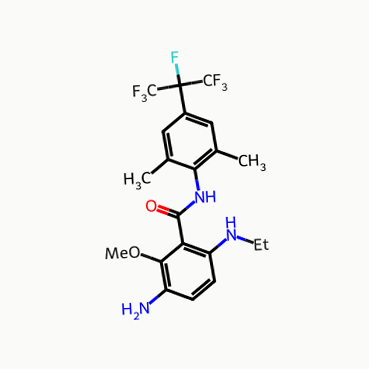 CCNc1ccc(N)c(OC)c1C(=O)Nc1c(C)cc(C(F)(C(F)(F)F)C(F)(F)F)cc1C